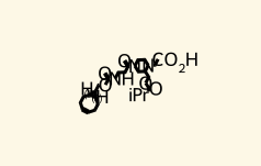 CC(C)C(=O)OCC1CN(C(=O)CCNC(=O)OCC2[C@H]3CCC#CCC[C@@H]23)CCN1CC(=O)O